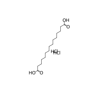 Cl.Cl.O=C(O)CCCCCCCCCCCCCC(=O)O